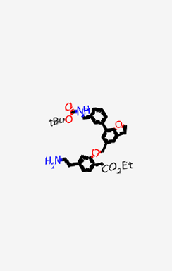 CCOC(=O)Cc1ccc(CCN)cc1OCc1cc(-c2cccc(CNC(=O)OC(C)(C)C)c2)c2occc2c1